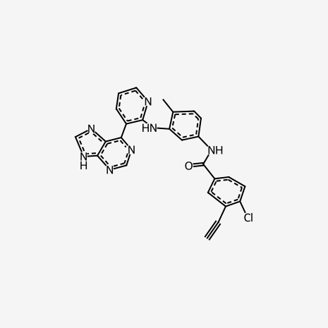 C#Cc1cc(C(=O)Nc2ccc(C)c(Nc3ncccc3-c3ncnc4[nH]cnc34)c2)ccc1Cl